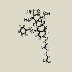 CC(C)=CCC/C(C)=C/COc1ccc2c(OCc3ccccc3)c(O[C@@H]3O[C@H](CO)[C@@H](O)[C@H](O)[C@@H]3O)c(=O)oc2c1